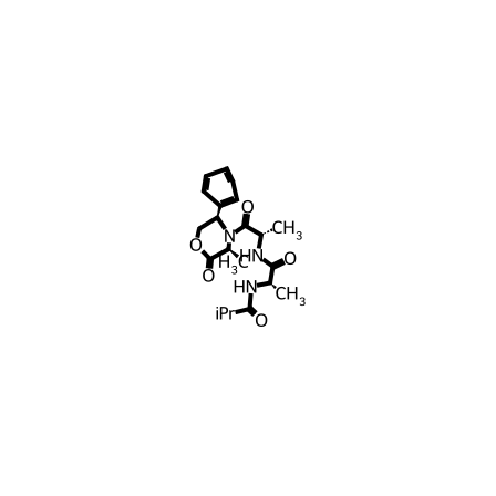 CC(C)C(=O)N[C@@H](C)C(=O)N[C@@H](C)C(=O)N1[C@@H](C)C(=O)OC[C@H]1c1ccccc1